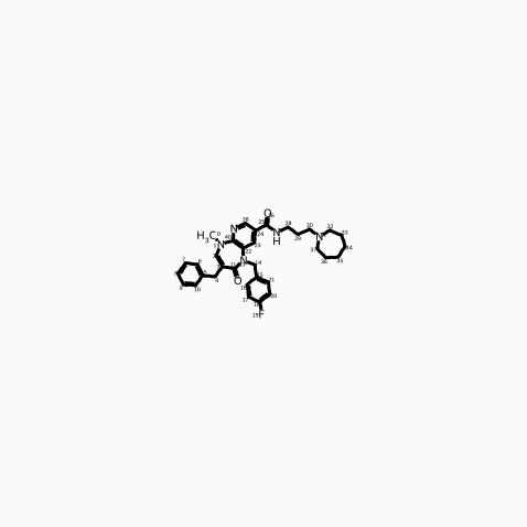 CN1C=C(Cc2ccccc2)C(=O)N(Cc2ccc(F)cc2)c2cc(C(=O)NCCCN3CCCCCC3)cnc21